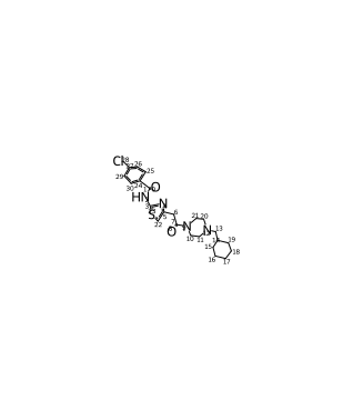 O=C(Nc1nc(CC(=O)N2CCN(CC3CCCCC3)CC2)cs1)c1ccc(Cl)cc1